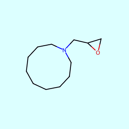 C1CCCCN(CC2CO2)CCCC1